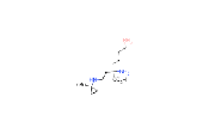 BCCCCC(N)(CCNC1(CCCC)CC1)C(=O)O